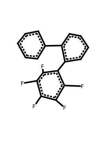 Fc1c(F)c(F)c(-c2ccccc2-c2ccccc2)c(F)c1F